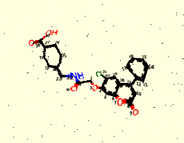 O=C(COc1cc2oc(=O)cc(-c3ccccc3)c2cc1Cl)NCC1CCC(C(=O)O)CC1